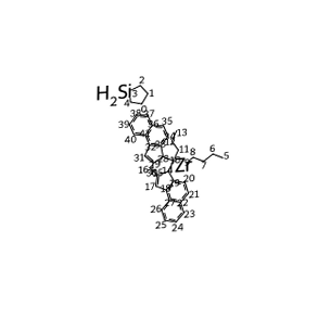 C1CC[SiH2]C1.CCC[CH2][Zr][C](CCC)(C1C(C)=Cc2c1ccc1ccccc21)C1C(C)=Cc2c1ccc1ccccc21